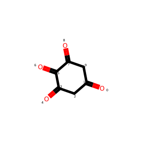 O=C1CC(=O)C(=O)C(=O)C1